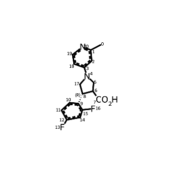 Cc1cc(N2CC(C(=O)O)[C@H](c3ccc(F)cc3F)C2)ccn1